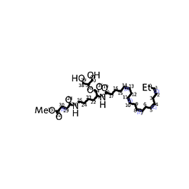 CC/C=C\C/C=C\C/C=C\C/C=C\C/C=C\CCCC(=O)NC(CCCCNC(=O)/C=C/C(=O)OC)C(=O)OC(CO)CO